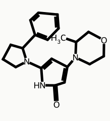 CC1COCCN1c1cc(N2CCCC2c2ccccc2)[nH]c(=O)c1